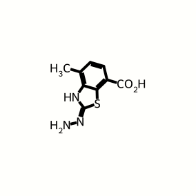 Cc1ccc(C(=O)O)c2s/c(=N/N)[nH]c12